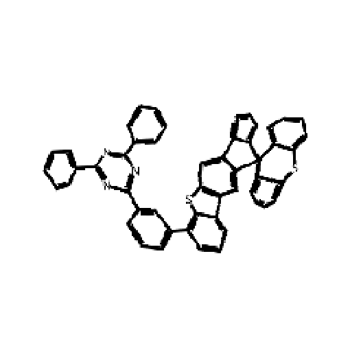 c1ccc(-c2nc(-c3ccccc3)nc(-c3cccc(-c4cccc5c4sc4cc6c(cc45)C4(c5ccccc5Sc5ccccc54)c4ccccc4-6)c3)n2)cc1